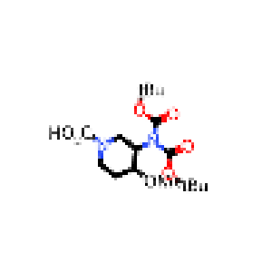 COC1CCN(C(=O)O)CC1N(C(=O)OC(C)(C)C)C(=O)OC(C)(C)C